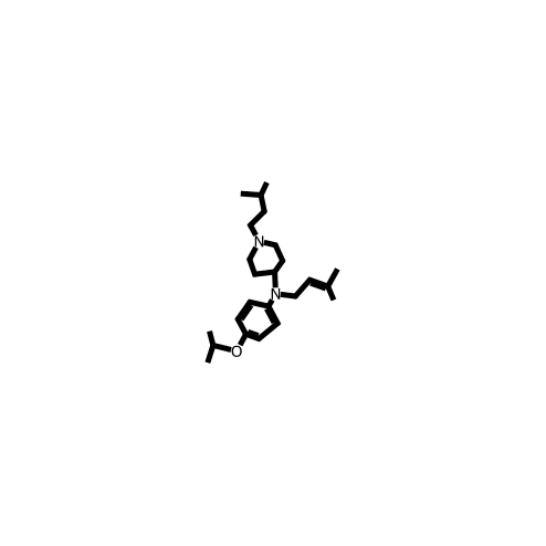 CC(C)=CCN(c1ccc(OC(C)C)cc1)C1CCN(CCC(C)C)CC1